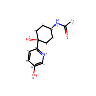 CCC(=O)N[C@H]1CC[C@](O)(c2ccc(O)cn2)CC1